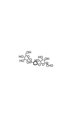 O=COC1O[C@@H](Oc2ccc(CO[C@@H]3OC(CO)[C@@H](O)[C@H](O)C3O)cc2)C(O)[C@@H](O)[C@@H]1O